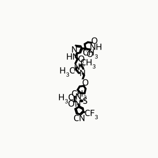 C[C@@H]1CN(CCO[C@H]2CC[C@H](N3C(=S)N(c4ccc(C#N)c(C(F)(F)F)c4)C(=O)C3(C)C)CC2)C[C@H](C)N1CC(=O)Nc1cc([C@@]2(C)CCC(=O)NC2=O)ccn1